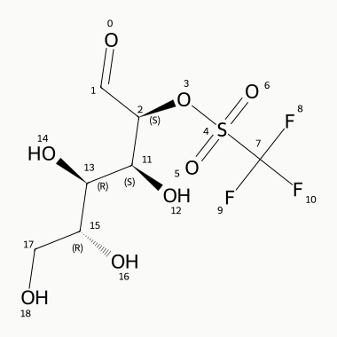 O=C[C@@H](OS(=O)(=O)C(F)(F)F)[C@@H](O)[C@H](O)[C@H](O)CO